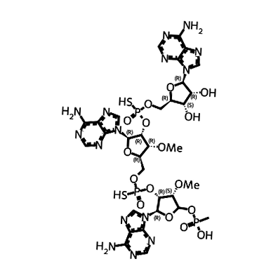 CO[C@H]1[C@@H](OP(=O)(S)OC[C@H]2O[C@@H](n3cnc4c(N)ncnc43)[C@H](O)[C@@H]2O)[C@H](n2cnc3c(N)ncnc32)O[C@@H]1COP(=O)(S)O[C@@H]1[C@H](OC)C(OP(C)(=O)O)O[C@H]1n1cnc2c(N)ncnc21